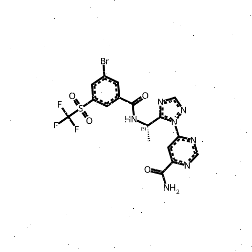 C[C@H](NC(=O)c1cc(Br)cc(S(=O)(=O)C(F)(F)F)c1)c1ncnn1-c1cc(C(N)=O)ncn1